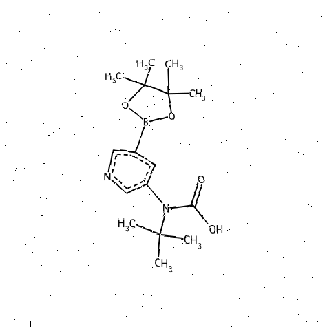 CC(C)(C)N(C(=O)O)c1cncc(B2OC(C)(C)C(C)(C)O2)c1